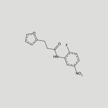 O=C(CCc1ccco1)Nc1cc([N+](=O)[O-])ccc1F